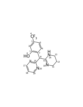 Oc1cc(C(F)(F)F)ccc1C(C1=NCCCN1)c1ccccn1